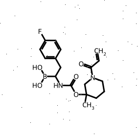 C=CC(=O)N1CCCC(C)(OC(=O)NC(Cc2ccc(F)cc2)B(O)O)C1